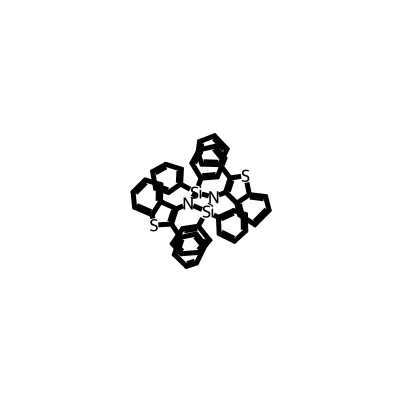 c1ccc(-c2sc3ccccc3c2N2[Si](c3ccccc3)(c3ccccc3)N(c3c(-c4ccccc4)sc4ccccc34)[Si]2(c2ccccc2)c2ccccc2)cc1